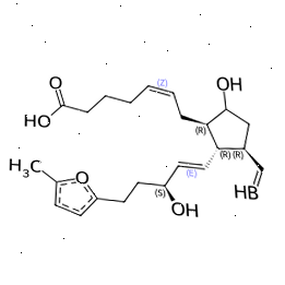 B=C[C@@H]1CC(O)[C@H](C/C=C\CCCC(=O)O)[C@H]1/C=C/[C@@H](O)CCc1ccc(C)o1